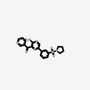 Nc1ncc(-c2cccc(S(=O)(=O)N3CCCC3)c2)nc1C(=O)c1cccnc1